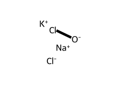 [Cl-].[K+].[Na+].[O-]Cl